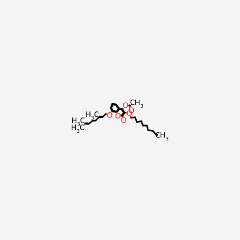 CCCCCCCCCCOc1c(OC(C)=O)c2cccc(OC/C=C(\C)CCC=C(C)C)c2oc1=O